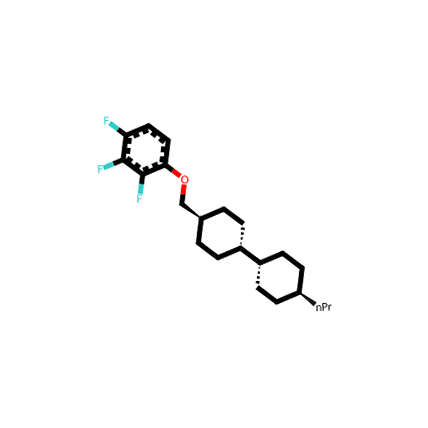 CCC[C@H]1CC[C@H]([C@H]2CC[C@H](COc3ccc(F)c(F)c3F)CC2)CC1